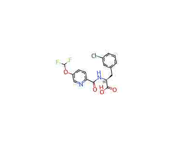 O=C(N[C@@H](Cc1cccc(Cl)c1)C(=O)O)c1ccc(OC(F)F)cn1